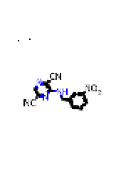 N#Cc1cnc(C#N)c(NCc2cccc([N+](=O)[O-])c2)n1